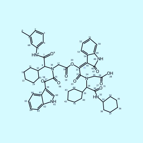 Cc1cccc(NC(=O)C(C2CCCCC2)N(CC(=O)O/C(C(=O)N(CC(=O)O)C(C(=O)NC2CCCCC2)C2CCCCC2)=C2/C(=O)Nc3ccccc32)C(=O)C(=O)c2c[nH]c3ccccc23)c1